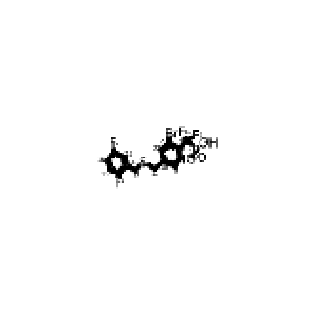 O=P(O)(O)C(F)(F)c1ccc(CSCc2cc(F)ccc2F)cc1Br